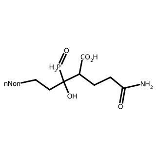 CCCCCCCCCCCC(O)([PH2]=O)C(CCC(N)=O)C(=O)O